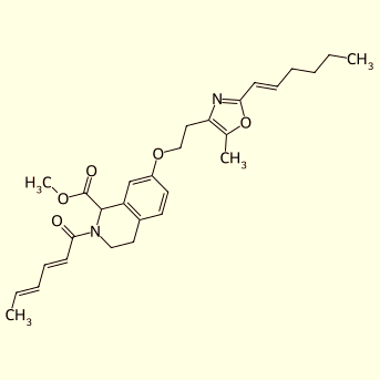 CC=CC=CC(=O)N1CCc2ccc(OCCc3nc(/C=C/CCCC)oc3C)cc2C1C(=O)OC